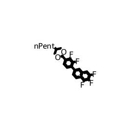 CCCCCC1COC(c2ccc(-c3ccc4c(F)c(F)c(F)cc4c3)c(F)c2F)OC1